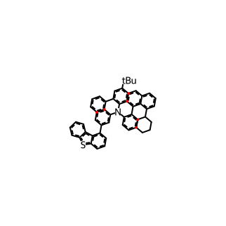 CC(C)(C)c1ccc(N(c2cccc(-c3cccc4sc5ccccc5c34)c2)c2ccccc2-c2cccc3cccc(C4CCCCC4)c23)c(-c2ccccc2)c1